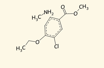 CCOc1ccc(C(=O)OC)cc1Cl.CN